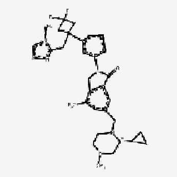 CN1CCN(Cc2cc3c(c(C(F)(F)F)c2)CN(c2cccc(C4(Cc5nncn5C)CC(F)(F)C4)c2)C3=O)[C@@H](C2CC2)C1